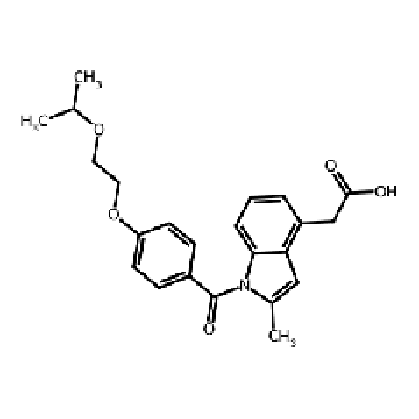 Cc1cc2c(CC(=O)O)cccc2n1C(=O)c1ccc(OCCOC(C)C)cc1